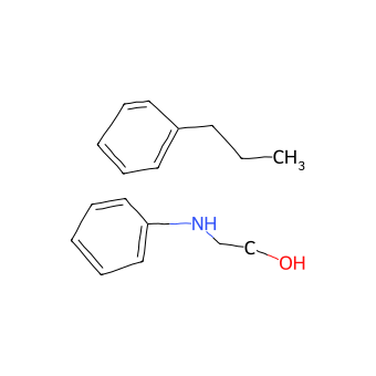 CCCc1ccccc1.OCCNc1ccccc1